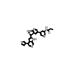 CCC(=O)Nc1cncc(-c2cnc3[nH]nc(-c4cc5c(-c6ccsc6)cncc5[nH]4)c3c2)c1